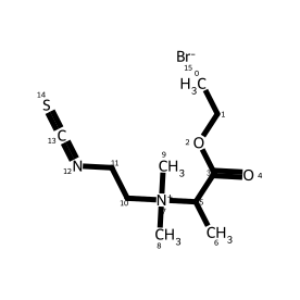 CCOC(=O)C(C)[N+](C)(C)CCN=C=S.[Br-]